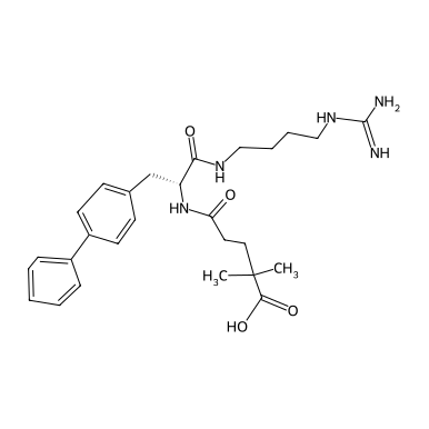 CC(C)(CCC(=O)N[C@H](Cc1ccc(-c2ccccc2)cc1)C(=O)NCCCCNC(=N)N)C(=O)O